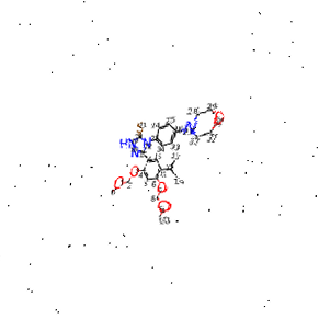 COCOc1cc(OCOC)c(C(C)C)cc1-c1n[nH]c(=S)n1-c1ccc(N2CCOCC2)cc1